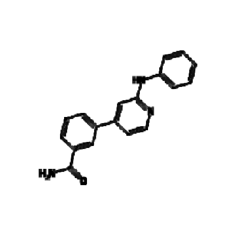 NC(=O)c1cccc(-c2ccnc(Nc3ccccc3)c2)c1